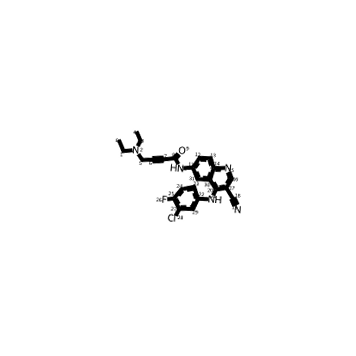 CCN(CC)CC#CC(=O)Nc1ccc2ncc(C#N)c(Nc3ccc(F)c(Cl)c3)c2c1